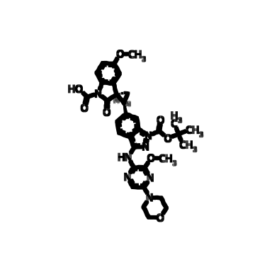 COc1ccc2c(c1)[C@]1(C[C@H]1c1ccc3c(Nc4ncc(N5CCOCC5)nc4OC)nn(C(=O)OC(C)(C)C)c3c1)C(=O)N2C(=O)O